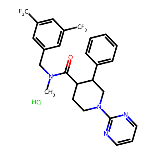 CN(Cc1cc(C(F)(F)F)cc(C(F)(F)F)c1)C(=O)C1CCN(c2ncccn2)CC1c1ccccc1.Cl